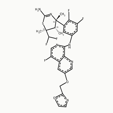 C[C@H]1[C@@](C)(c2cc(Nc3ncc(F)c4cc(OCc5ncco5)cnc34)cc(F)c2F)N=C(N)S[C@]1(C)C(F)F